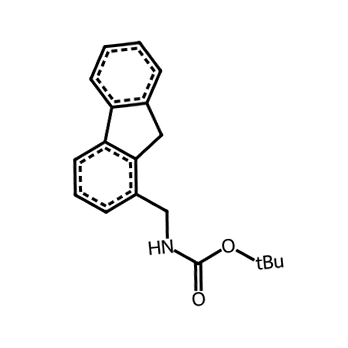 CC(C)(C)OC(=O)NCc1cccc2c1Cc1ccccc1-2